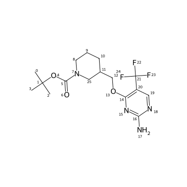 CC(C)(C)OC(=O)N1CCCC(COc2nc(N)ncc2C(F)(F)F)C1